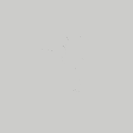 CC(C)(C)[C@@H](CO)n1cc(C(=O)O)c(=O)c2cc(NCc3c(F)cc(F)cc3F)c(N3CCC3)cc21